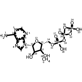 C.Nc1ncnc2c1ncn2[C@@H]1O[C@H](COP(=O)(O)OP2(=O)OP(=O)(O)O2)C(O)C1O